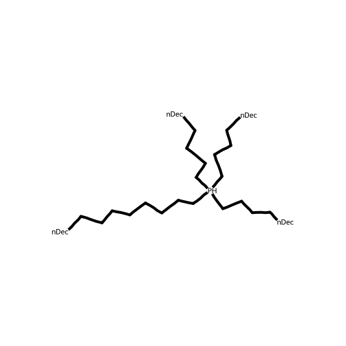 CCCCCCCCCCCCCCCCCC[PH](CCCCCCCCCCCCCC)(CCCCCCCCCCCCCC)CCCCCCCCCCCCCC